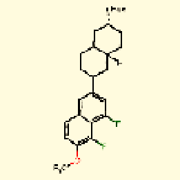 CCCCCC[C@@H]1CC[C@@H]2CC(c3cc(F)c4c(F)c(OC(F)(F)F)ccc4c3)CCC2C1